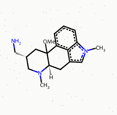 COC12C[C@@H](CN)CN(C)[C@@H]1Cc1cn(C)c3cccc2c13